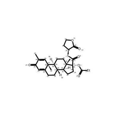 CCC(=O)O[C@]1(C(=O)S[C@H]2CCOC2=O)CC[C@H]2[C@@H]3CCC4=CC(=O)C(C)=C[C@]4(C)[C@H]3CC[C@@]21C